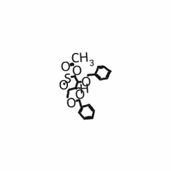 CC(=O)O[C@@H]1SOC2COC(c3ccccc3)O[C@H]2C1OCc1ccccc1